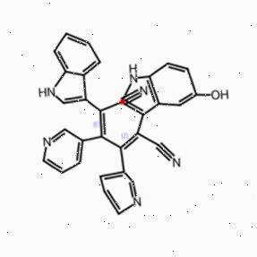 N#C/C(=C(/C(=C(\C#N)c1c[nH]c2ccccc12)c1cccnc1)c1cccnc1)c1c[nH]c2ccc(O)cc12